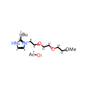 CC(=O)[O-].CCCCc1[nH]cc[n+]1CCOCCOCCOC